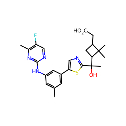 Cc1cc(Nc2ncc(F)c(C)n2)cc(-c2cnc(C(C)(O)C3CC(CC(=O)O)C3(C)C)s2)c1